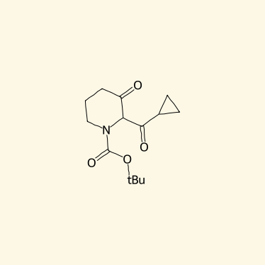 CC(C)(C)OC(=O)N1CCCC(=O)C1C(=O)C1CC1